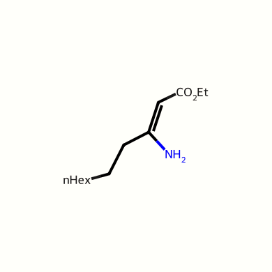 CCCCCCCC/C(N)=C/C(=O)OCC